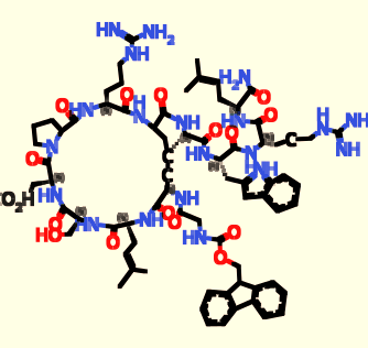 CC(C)=CC[C@H](NC(=O)[C@H](CCCNC(=N)N)NC(=O)[C@H](Cc1cc2ccccc2[nH]1)NC(=O)[C@H](C)NC(=O)C1CCC[C@H](NC(=O)CNC(=O)OCC2c3ccccc3-c3ccccc32)C(=O)N[C@@H](CC=C(C)C)C(=O)N[C@@H](CO)C(=O)N[C@@H](CC(=O)O)C(=O)N2CCCC2C(=O)N[C@@H](CCCNC(=N)N)C(=O)N1)C(N)=O